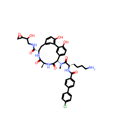 C[C@@H]1NC(=O)[C@@H](N(C)C(=O)[C@H](CCCCN)NC(=O)c2ccc(-c3ccc(Cl)cc3)cc2)c2ccc(O)c(c2)-c2cc(ccc2O)C[C@@H](C(=O)NCC(O)C2CO2)NC1=O